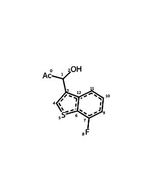 CC(=O)C(O)c1csc2c(F)cccc12